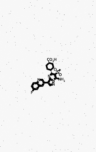 CS(=O)(=O)c1c(N)n2ncc(-c3cnc4ccc(F)cc4c3)c2nc1[C@H]1CC[C@@H](C(=O)O)CC1